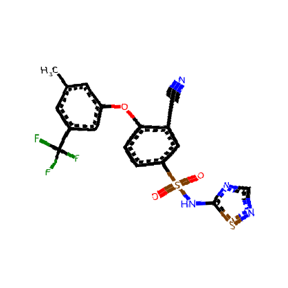 Cc1cc(Oc2ccc(S(=O)(=O)Nc3ncns3)cc2C#N)cc(C(F)(F)F)c1